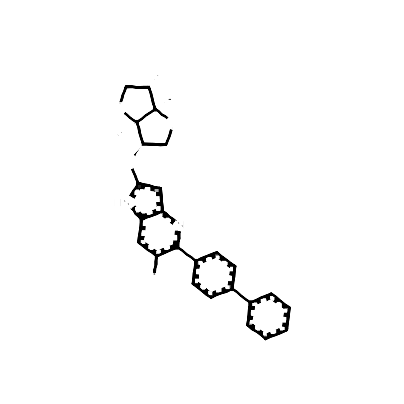 C[C@]12OC[C@H](O)[C@H]1OC[C@H]2Oc1cc2nc(-c3ccc(-c4ccccc4)cc3)c(Cl)cc2[nH]1